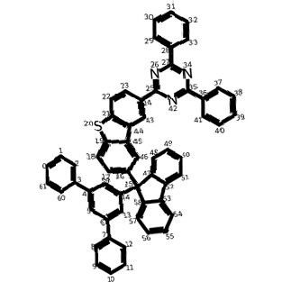 c1ccc(-c2cc(-c3ccccc3)cc(C3(c4ccc5sc6ccc(-c7nc(-c8ccccc8)nc(-c8ccccc8)n7)cc6c5c4)c4ccccc4-c4ccccc43)c2)cc1